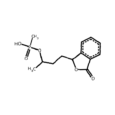 CC(CCC1OC(=O)c2ccccc21)OP(C)(=O)O